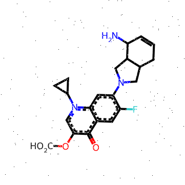 NC1C=CCC2CN(c3cc4c(cc3F)c(=O)c(OC(=O)O)cn4C3CC3)CC12